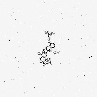 CCN(CC)CCOc1cccc2nc3c(cc12)Cn1c-3cc2c(c1=O)COC(=O)[C@]2(O)CC.Cl